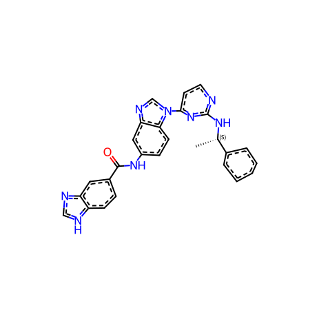 C[C@H](Nc1nccc(-n2cnc3cc(NC(=O)c4ccc5[nH]cnc5c4)ccc32)n1)c1ccccc1